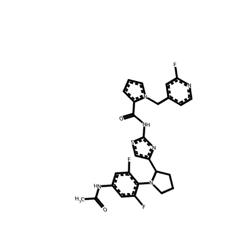 CC(=O)Nc1cc(F)c(N2CCCC2c2csc(NC(=O)c3cccn3Cc3ccnc(F)c3)n2)c(F)c1